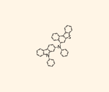 c1ccc(N(c2ccc3c4ccccc4n(-c4ccccc4)c3c2)c2cc3sc4ccccc4c3c3ccccc23)cc1